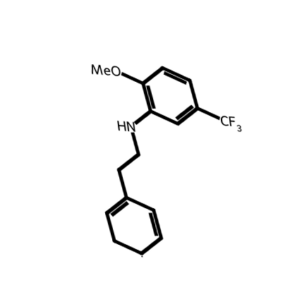 COc1ccc(C(F)(F)F)cc1NCCC1=CC[CH]C=C1